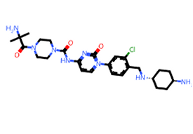 CC(C)(N)C(=O)N1CCN(C(=O)Nc2ccn(-c3ccc(CN[C@H]4CC[C@H](N)CC4)c(Cl)c3)c(=O)n2)CC1